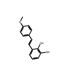 COc1ccc(C=Cc2cccc(O)c2O)cc1